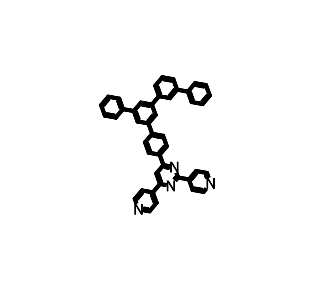 c1ccc(-c2cccc(-c3cc(-c4ccccc4)cc(-c4ccc(-c5cc(-c6ccncc6)nc(-c6ccncc6)n5)cc4)c3)c2)cc1